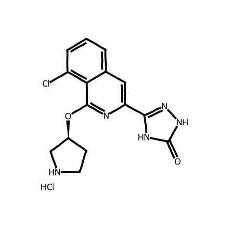 Cl.O=c1[nH]nc(-c2cc3cccc(Cl)c3c(O[C@H]3CCNC3)n2)[nH]1